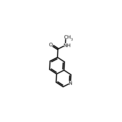 CNC(=O)c1ccc2ccncc2c1